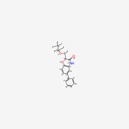 CC(O[Si](C)(C)C(C)(C)C)C1Oc2ccc(-c3ccccc3)cc2NC1=O